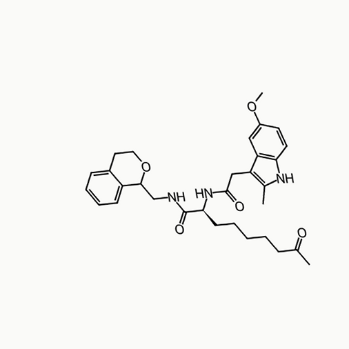 COc1ccc2[nH]c(C)c(CC(=O)N[C@@H](CCCCCC(C)=O)C(=O)NCC3OCCc4ccccc43)c2c1